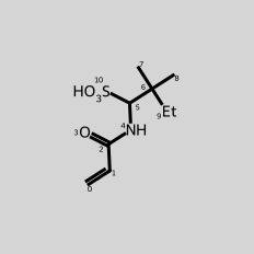 C=CC(=O)NC(C(C)(C)CC)S(=O)(=O)O